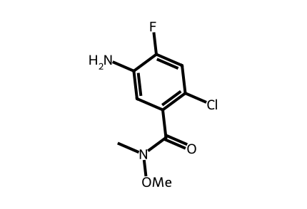 CON(C)C(=O)c1cc(N)c(F)cc1Cl